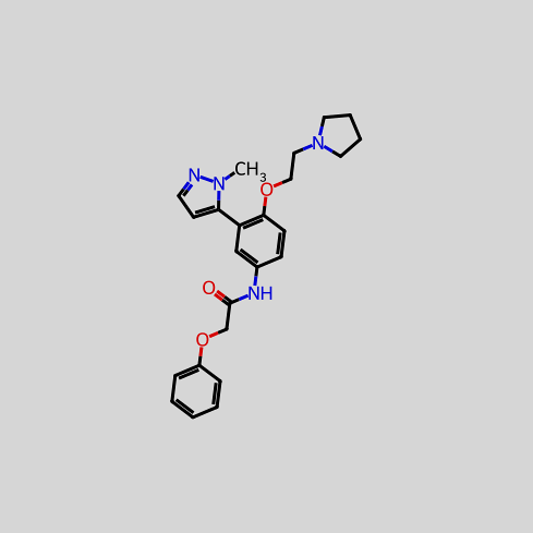 Cn1nccc1-c1cc(NC(=O)COc2ccccc2)ccc1OCCN1CCCC1